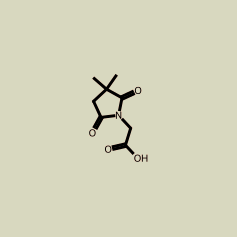 CC1(C)CC(=O)N(CC(=O)O)C1=O